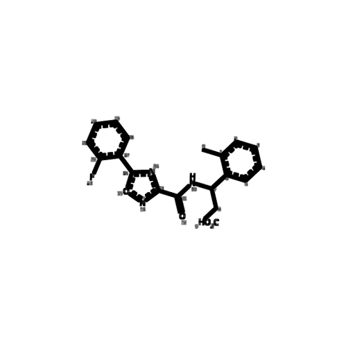 Cc1ccccc1C(CC(=O)O)NC(=O)c1noc(-c2ccccc2F)n1